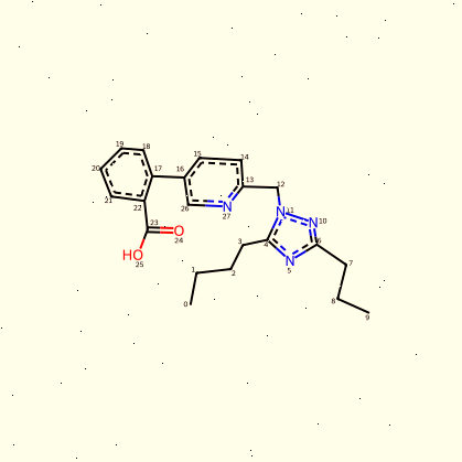 CCCCc1nc(CCC)nn1Cc1ccc(-c2ccccc2C(=O)O)cn1